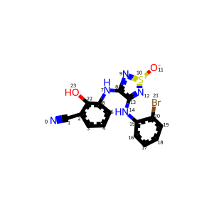 N#Cc1cccc(Nc2n[s+]([O-])nc2Nc2ccccc2Br)c1O